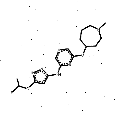 CN1CCCC(Oc2cncc(Nc3cc(OC(F)F)[nH]n3)n2)CC1